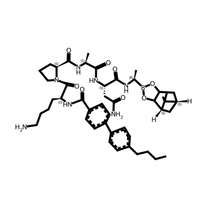 CCCCc1ccc(-c2ccc(C(=O)N[C@@H](CCCCN)C(=O)N3CCC[C@H]3C(=O)N[C@@H](C)C(=O)N[C@@H](CC(N)=O)C(=O)N[C@@H](C)B3OC4C[C@@H]5C[C@H](C4O3)C5(C)C)cc2)cc1